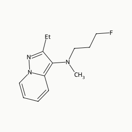 CCc1nn2ccccc2c1N(C)CCCF